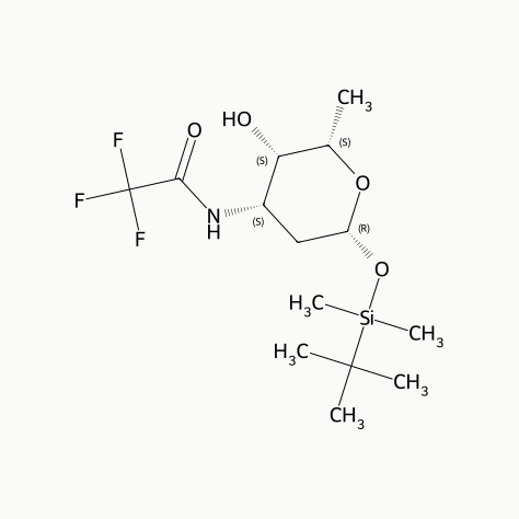 C[C@@H]1O[C@H](O[Si](C)(C)C(C)(C)C)C[C@H](NC(=O)C(F)(F)F)[C@@H]1O